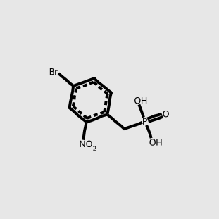 O=[N+]([O-])c1cc(Br)ccc1CP(=O)(O)O